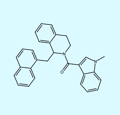 Cn1cc(C(=O)N2CCc3ccccc3C2Cc2cccc3ccccc23)c2ccccc21